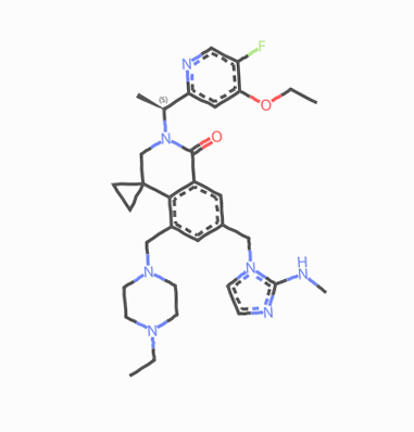 CCOc1cc([C@H](C)N2CC3(CC3)c3c(CN4CCN(CC)CC4)cc(Cn4ccnc4NC)cc3C2=O)ncc1F